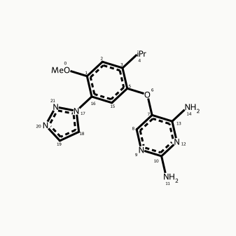 COc1cc(C(C)C)c(Oc2cnc(N)nc2N)cc1-n1ccnn1